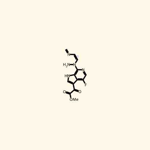 C=N/C=C\N(N)c1ncc(F)c2c(C(=O)C(=O)OC)c[nH]c12